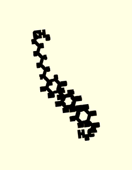 CCCCCCCCC1CC=C(c2ccc(C3=CCC(CC)CC3)cc2)CC1